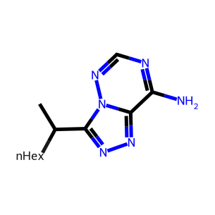 CCCCCCC(C)c1nnc2c(N)ncnn12